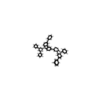 C1=CC2C(C=C1c1ccc3c(c1)c1cc(-c4ccccc4)ccc1n3-c1cc(-c3ccccc3)cc(-c3ccccc3)n1)c1cc(-c3ccccc3)ccc1N2c1ccccc1